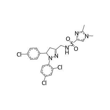 Cc1nc(S(=O)(=O)NCC2=NN(c3ccc(Cl)cc3Cl)C(c3ccc(Cl)cc3)C2)cn1C